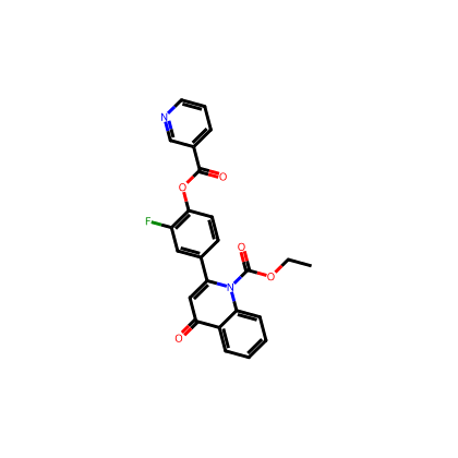 CCOC(=O)n1c(-c2ccc(OC(=O)c3cccnc3)c(F)c2)cc(=O)c2ccccc21